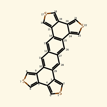 c1scc2c1c1cscc1c1cc3cc4c5cscc5c5cscc5c4cc3cc21